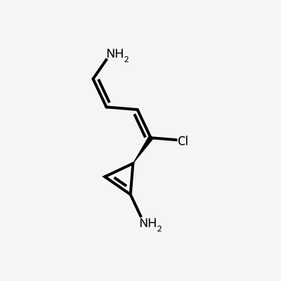 N/C=C\C=C(\Cl)[C@@H]1C=C1N